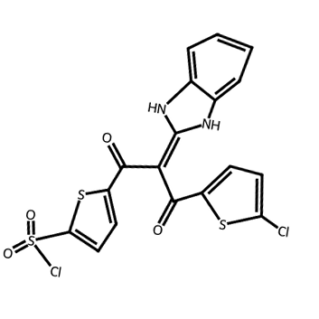 O=C(C(C(=O)c1ccc(S(=O)(=O)Cl)s1)=C1Nc2ccccc2N1)c1ccc(Cl)s1